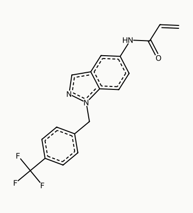 C=CC(=O)Nc1ccc2c(cnn2Cc2ccc(C(F)(F)F)cc2)c1